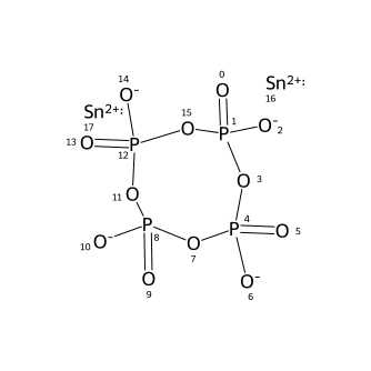 O=P1([O-])OP(=O)([O-])OP(=O)([O-])OP(=O)([O-])O1.[Sn+2].[Sn+2]